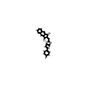 O=C1C(=Cc2nc3sc(-c4ccc(F)cc4)cc3o2)C(=O)c2cc3ccccc3cc21